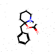 CC(=O)OC1(Cc2ccccc2)CCCCN1C